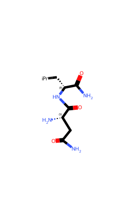 CC(C)C[C@@H](NC(=O)[C@@H](N)CC(N)=O)C(N)=O